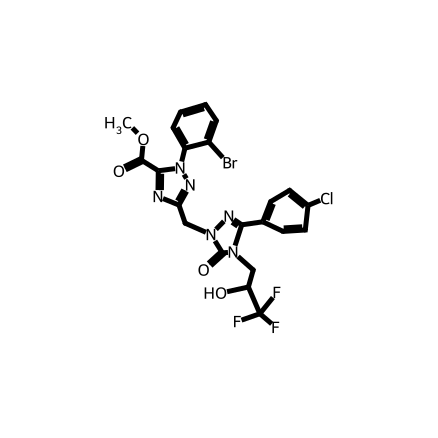 COC(=O)c1nc(Cn2nc(-c3ccc(Cl)cc3)n(CC(O)C(F)(F)F)c2=O)nn1-c1ccccc1Br